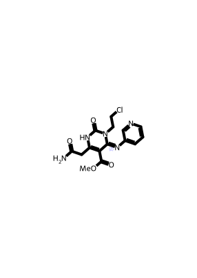 COC(=O)c1c(CC(N)=O)[nH]c(=O)n(CCCl)/c1=N\c1cccnc1